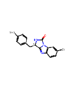 COc1ccc(C[C@H]2NC(=O)n3c2nc2ccc(C#N)cc23)cc1